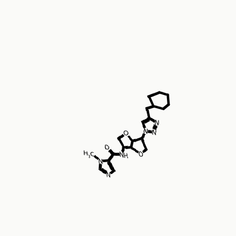 Cn1cncc1C(=O)NC1COC2C1OCC2n1cc(CC2CCCCC2)nn1